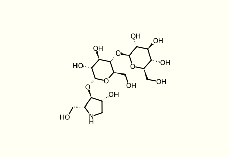 OC[C@H]1NC[C@@H](O)[C@@H]1O[C@H]1O[C@H](CO)[C@@H](O[C@@H]2O[C@H](CO)[C@@H](O)[C@H](O)[C@H]2O)[C@H](O)[C@H]1O